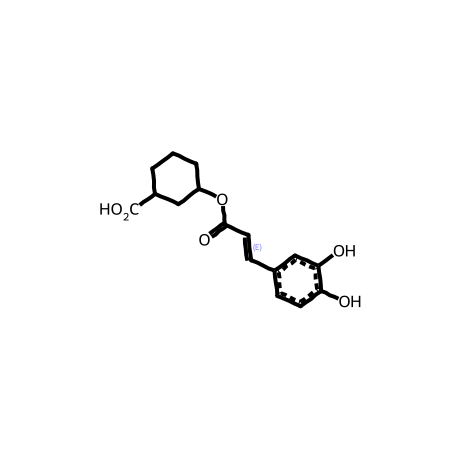 O=C(/C=C/c1ccc(O)c(O)c1)OC1CCCC(C(=O)O)C1